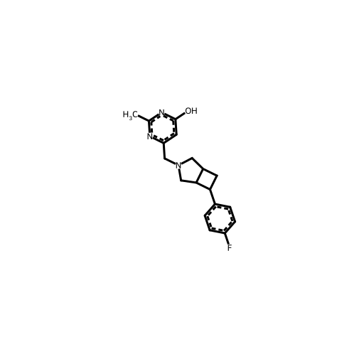 Cc1nc(O)cc(CN2CC3CC(c4ccc(F)cc4)C3C2)n1